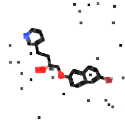 O[C@H](CCc1cccnc1)COc1ccc2cc(Br)ccc2c1